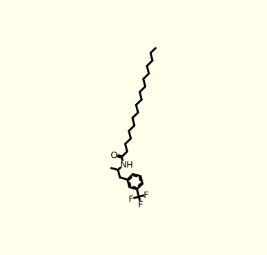 CCCCCCCCCCCCCCCCCC(=O)NC(C)Cc1cccc(C(F)(F)F)c1